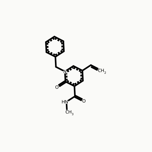 C=Cc1cc(C(=O)NC)c(=O)n(Cc2ccccc2)c1